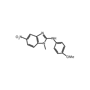 COc1ccc(Nc2nc3cc([N+](=O)[O-])ccc3n2C)cc1